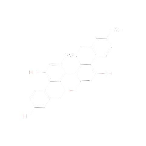 COc1ccc2c(c1)CCc1c-2c(O)cc(O)c1-c1c(OC)cc(O)c2c1CCc1cc(O)ccc1-2